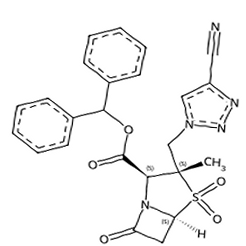 C[C@]1(Cn2cc(C#N)nn2)[C@H](C(=O)OC(c2ccccc2)c2ccccc2)N2C(=O)C[C@@H]2S1(=O)=O